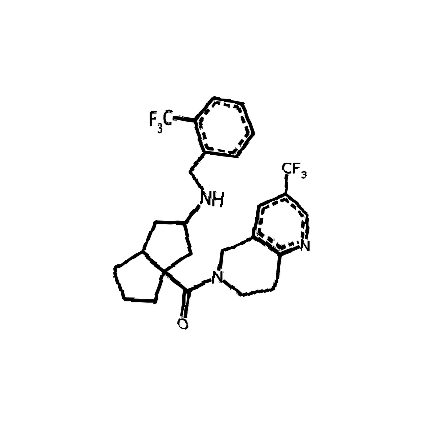 O=C(N1CCc2ncc(C(F)(F)F)cc2C1)C12CCCC1CC(NCc1ccccc1C(F)(F)F)C2